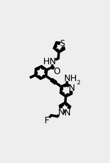 Cc1ccc(C(=O)NCc2ccsc2)c(C#Cc2cc(-c3cnn(CCF)c3)cnc2N)c1